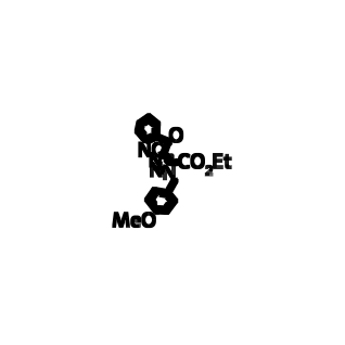 CCOC(=O)c1c(C(=O)c2ccccc2[N+](=O)[O-])nnn1Cc1ccc(OC)cc1